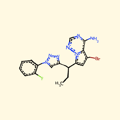 CCC(c1cn(-c2ccccc2F)nn1)c1cc(Br)c2c(N)ncnn12